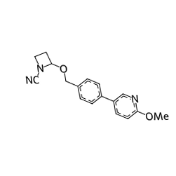 COc1ccc(-c2ccc(COC3CCN3C#N)cc2)cn1